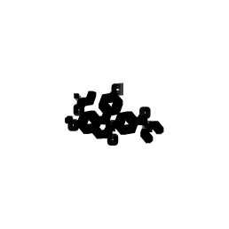 CC[C@@H](C)Oc1cc2c(cc1OC)CC(=O)N(c1ccc(C(=O)N(CC)CC)cc1)C2c1ccc(Cl)cc1